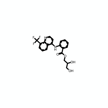 O=C(OCC(O)CO)c1ccccc1Nc1ccnc2c(C(F)(F)F)cccc12